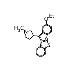 CCOc1ccc2c(c1)c([C@H]1CCN(C)C1)c1c3ccccc3sn21